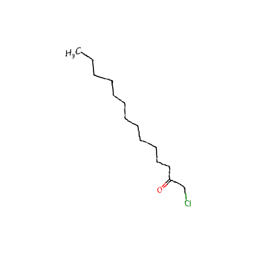 CCCCCCCCCCCCC(=O)CCl